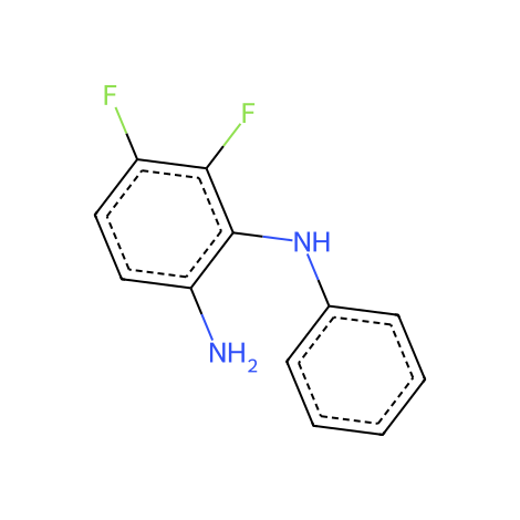 Nc1ccc(F)c(F)c1Nc1ccccc1